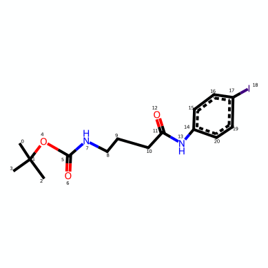 CC(C)(C)OC(=O)NCCCC(=O)Nc1ccc(I)cc1